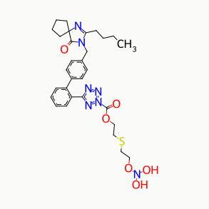 CCCCC1=NC2(CCCC2)C(=O)N1Cc1ccc(-c2ccccc2-c2nnn(C(=O)OCCSCCON(O)O)n2)cc1